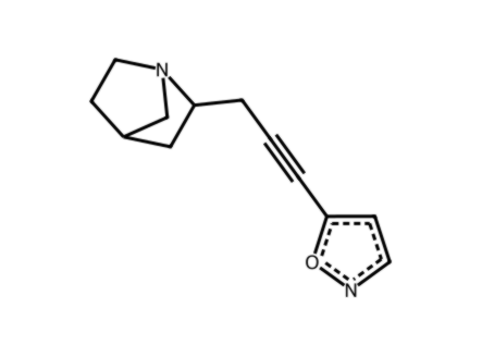 C(#Cc1ccno1)CC1CC2CCN1C2